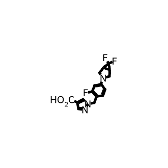 O=C(O)c1cnn(Cc2ccc(N3CC4C(C3)C4(F)F)cc2F)c1